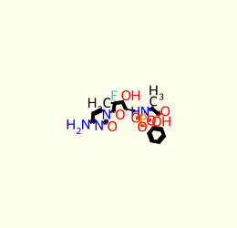 C[C@H](N[P@@](=O)(OC[C@H]1O[C@@H](n2ccc(N)nc2=O)[C@](C)(F)[C@@H]1O)Oc1ccccc1)C(=O)O